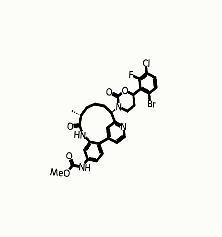 COC(=O)Nc1ccc2c(c1)NC(=O)[C@H](C)CCC[C@H](N1CCC(c3c(Br)ccc(Cl)c3F)OC1=O)c1cc-2ccn1